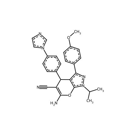 COc1ccc(-c2nn(C(C)C)c3c2C(c2ccc(-n4ccnc4)cc2)C(C#N)=C(N)O3)cc1